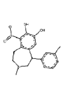 Cc1cccc(C2CN(C)CCc3c2cc(O)c(O)c3[N+](=O)[O-])c1